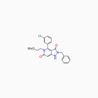 COCCn1c(-c2cccc(Cl)c2)c2c(=O)n(Cc3ccccc3)[nH]c2cc1=O